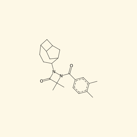 Cc1ccc(C(=O)N2N(C3CCC4CC5CC3CC45)C(=O)C2(C)C)cc1C